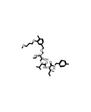 CCN[C@@H](COCc1ccc(C)c(OCCCOC)c1)[C@@H](O)C[C@H](C(=O)N[C@H](C(=O)NCc1ccc(C)cc1)[C@@H](C)CC)C(C)C